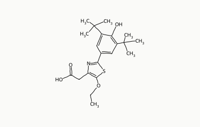 CCOc1sc(-c2cc(C(C)(C)C)c(O)c(C(C)(C)C)c2)nc1CC(=O)O